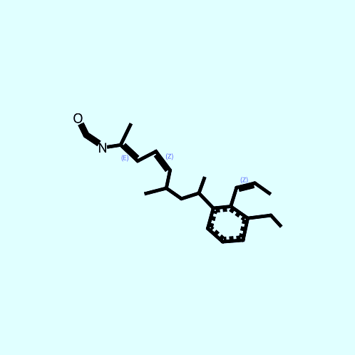 C/C=C\c1c(CC)cccc1C(C)CC(C)/C=C\C=C(/C)N=C=O